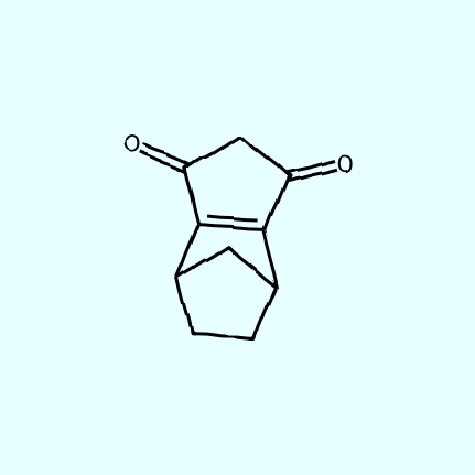 O=C1CC(=O)C2=C1C1CCC2C1